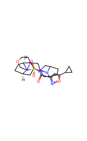 O=C(N[C@H]1C[C@H]2CC[C@@H](C1)N2S(=O)(=O)N1CC2CCC(C1)N2CCN1CCOCC1)c1cc(C2CC2)on1